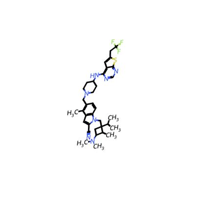 Cc1c(CN2CCC(Nc3ncnc4sc(CC(F)(F)F)cc34)CC2)ccc2c1cc(C#N)n2CC1(C(C)C)CC(N(C)C)C1C